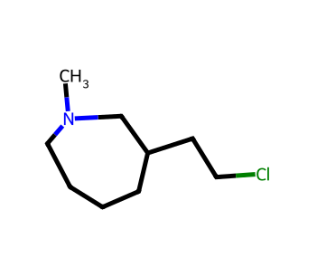 CN1CCCCC(CCCl)C1